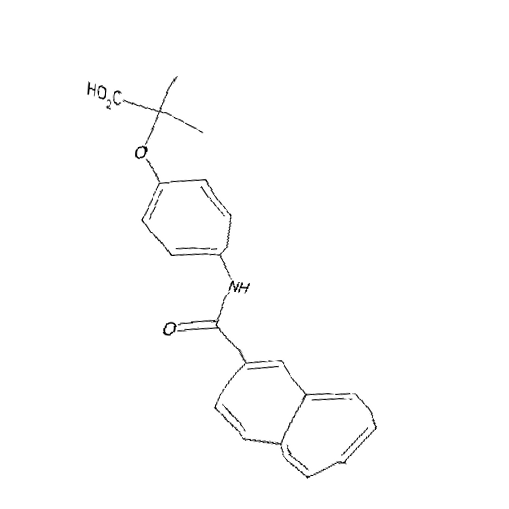 CC(C)(Oc1ccc(NC(=O)c2ccc3ccccc3c2)cc1)C(=O)O